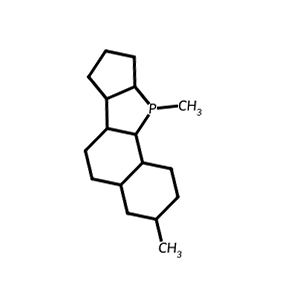 CC1CCC2C(CCC3C4CCCC4P(C)C23)C1